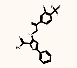 O=C(CNc1cc(-c2ccccc2)sc1C(=O)O)c1ccc(C(F)(F)F)c(F)c1